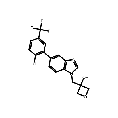 OC1(Cn2cnc3cc(-c4cc(C(F)(F)F)ccc4Cl)ccc32)COC1